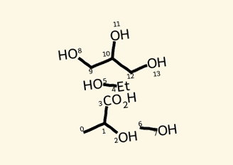 CC(O)C(=O)O.CCO.CO.OCC(O)CO